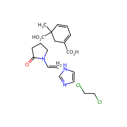 C=CN1CCCC1=O.CC1(C(=O)O)C=CC=C(C(=O)O)C1.ClCCCl.c1c[nH]cn1